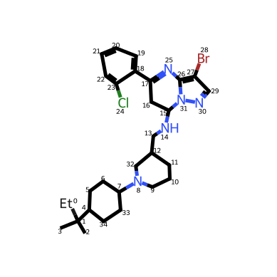 CCC(C)(C)C1CCC(N2CCCC(CNC3CC(c4ccccc4Cl)=Nc4c(Br)cnn43)C2)CC1